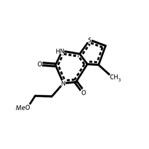 COCCn1c(=O)[nH]c2scc(C)c2c1=O